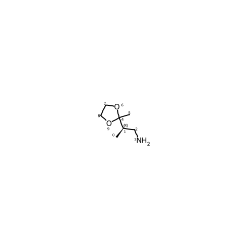 C[C@H](CN)C1(C)OCCO1